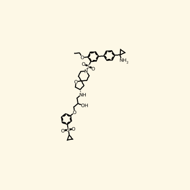 CCOc1ccc(-c2ccc(C3(N)CC3)cc2)cc1S(=O)(=O)N1CCC2(CC1)C[C@H](NCC(O)COc1cccc(S(=O)(=O)C3CC3)c1)CO2